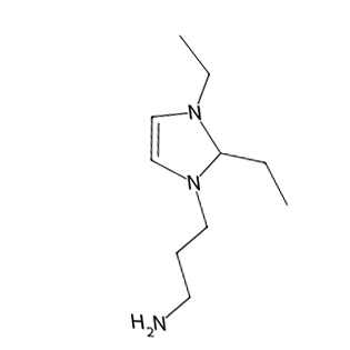 CCC1N(CC)C=CN1CCCN